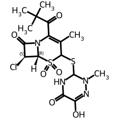 CC1=C(C(=O)C(C)(C)C)N2C(=O)[C@H](Cl)[C@H]2S(=O)(=O)C1SC1NC(=O)C(O)=NN1C